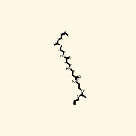 C=CCOC(C)OCCNC(=O)CCNCCC(=O)NCCOC(C)OC/C=C\C